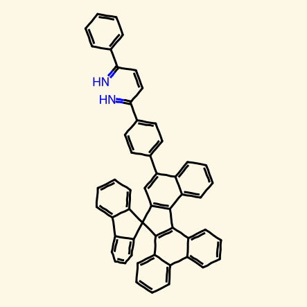 N=C(/C=C\C(=N)c1ccc(-c2cc3c(c4ccccc24)-c2c(c4ccccc4c4ccccc24)C32c3ccccc3-c3ccccc32)cc1)c1ccccc1